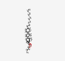 CCCCCCCCCCC1CCC(C2C=CC(c3ccc(OCCCC)cc3)=CC2)CC1